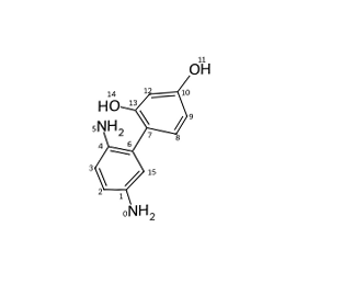 Nc1ccc(N)c(-c2ccc(O)cc2O)c1